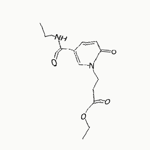 CCNC(=O)c1ccc(=O)n(CCC(=O)OCC)c1